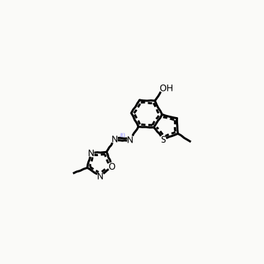 Cc1noc(/N=N/c2ccc(O)c3cc(C)sc23)n1